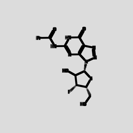 CC(C)C(=O)Nc1nc2c(nnn2[C@@H]2S[C@H](CO)[C@H](F)C2O)c(=O)[nH]1